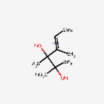 B/C(=C\SC)C(B)(O)C(B)(O)C(=O)O